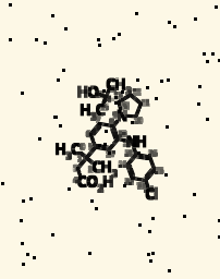 CC(C)(CC(=O)O)c1ccc(N2CCC[C@H]2C(C)(C)O)c(Nc2ccc(Cl)cc2)c1